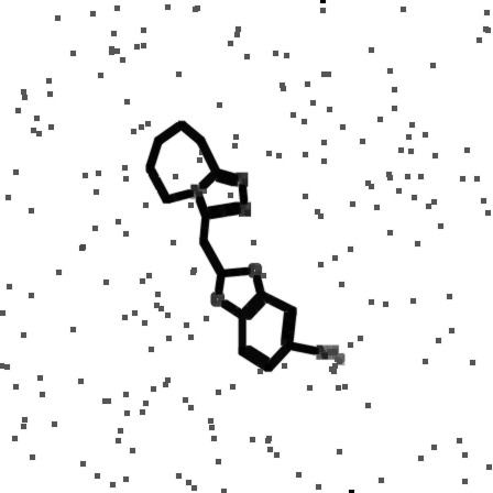 Nc1ccc2c(c1)OC(Cc1nnc3n1CCCCC3)O2